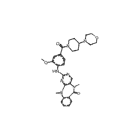 COc1cc(C(=O)N2CCC(N3CCOCC3)CC2)ccc1Nc1ncc2c(n1)N(C)c1ccccc1C(=O)N2C